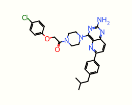 CC(C)Cc1ccc(-c2ccc3nc(N)nc(N4CCN(C(=O)COc5ccc(Cl)cc5)CC4)c3n2)cc1